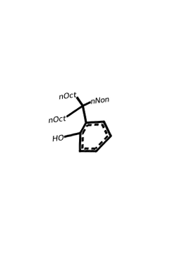 CCCCCCCCCC(CCCCCCCC)(CCCCCCCC)c1ccccc1O